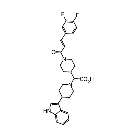 O=C(O)C(C1CCN(C(=O)/C=C/c2ccc(F)c(F)c2)CC1)N1CCC(c2c[nH]c3ccccc23)CC1